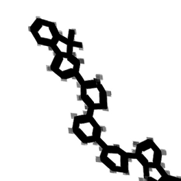 CC1(C)c2ccccc2-c2ccc(-c3cc(-c4cccc(-c5cccc(-c6cccc7c6sc6ccccc67)c5)c4)ccn3)cc21